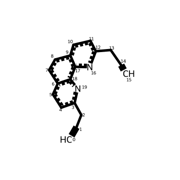 C#CCc1ccc2ccc3ccc(CC#C)nc3c2n1